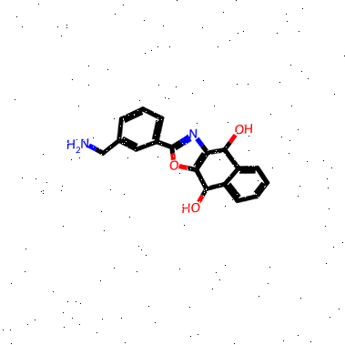 NCc1cccc(-c2nc3c(o2)C(O)c2ccccc2C3O)c1